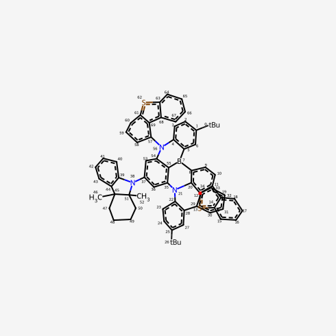 CC(C)(C)c1ccc2c(c1)B1c3ccc4c(sc5ccccc54)c3N(c3ccc(C(C)(C)C)cc3-c3ccccc3)c3cc(N4c5ccccc5C5(C)CCCCC45C)cc(c31)N2c1cccc2sc3ccccc3c12